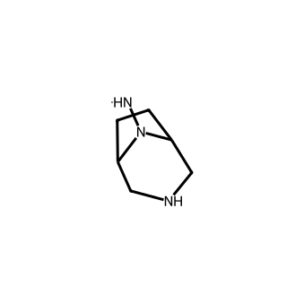 [NH]N1C2CCC1CNC2